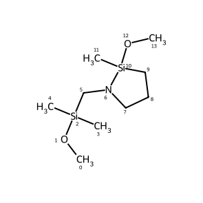 CO[Si](C)(C)CN1CCC[Si]1(C)OC